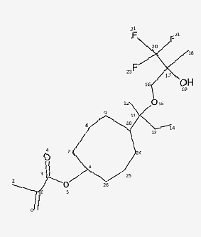 C=C(C)C(=O)OC1CCCC(C(C)(CC)OCC(C)(O)C(F)(F)F)CCC1